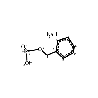 O=[PH](O)OCc1ccccc1.[NaH]